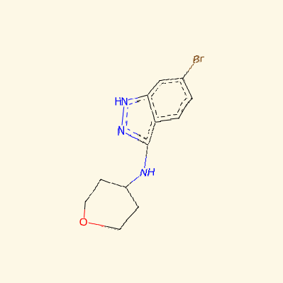 Brc1ccc2c(NC3CCOCC3)n[nH]c2c1